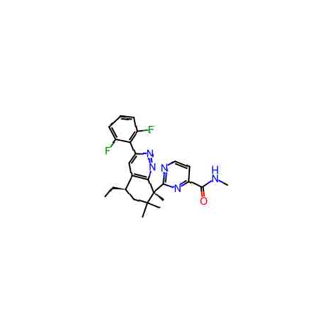 CC[C@@H]1CC(C)(C)[C@@](C)(c2nccc(C(=O)NC)n2)c2nnc(-c3c(F)cccc3F)cc21